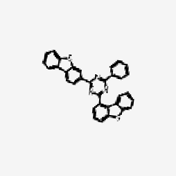 c1ccc(-c2nc(-c3ccc4c(c3)sc3ccccc34)nc(-c3cccc4sc5ccccc5c34)n2)cc1